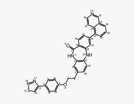 O=C1Nc2cc(CCOc3ccc(-c4csnn4)cc3)ccc2Nc2cc(-c3cccc4cnccc34)ccc21